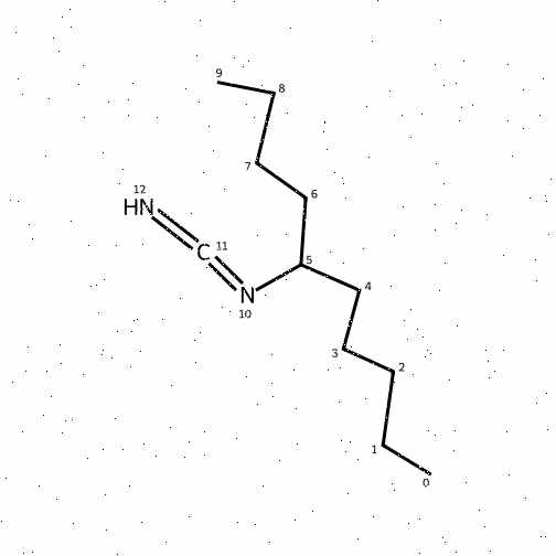 CCCCCC(CCCC)N=C=N